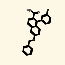 CC(=O)c1ccc2cc(OCc3ccccc3)ccc2c1-c1cccc(Cl)c1